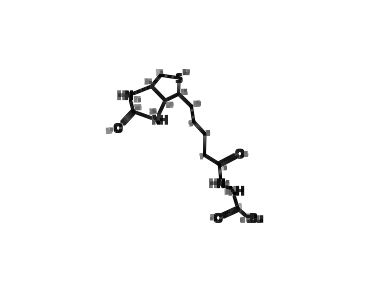 CC(C)(C)C(=O)NNC(=O)CCCCC1SCC2NC(=O)NC21